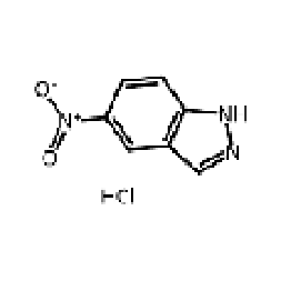 Cl.O=[N+]([O-])c1ccc2[nH]ncc2c1